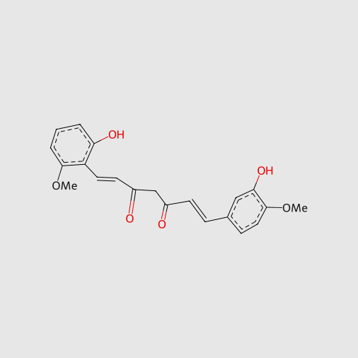 COc1ccc(/C=C/C(=O)CC(=O)/C=C/c2c(O)cccc2OC)cc1O